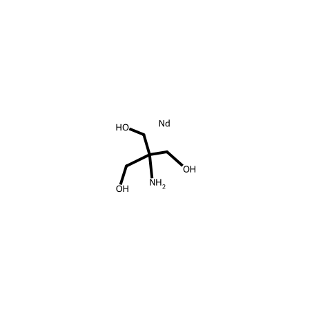 NC(CO)(CO)CO.[Nd]